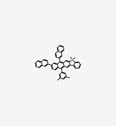 Cc1cc(C)cc(-c2c3ccc(-c4ccc5ccccc5c4)cc3c(-c3ccc4ccccc4c3)c3cc4c(cc23)-c2ccccc2[Si]4(C)C)c1